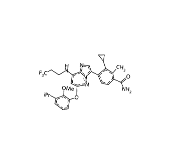 COc1c(Oc2cc(NCCC(F)(F)F)c3ncc(-c4ccc(C(N)=O)c(C)c4C4CC4)n3n2)cccc1C(C)C